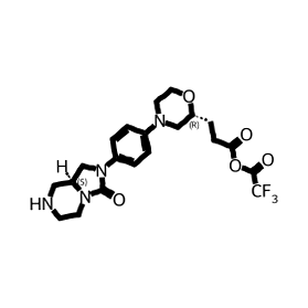 O=C(CC[C@@H]1CN(c2ccc(N3C[C@@H]4CNCCN4C3=O)cc2)CCO1)OC(=O)C(F)(F)F